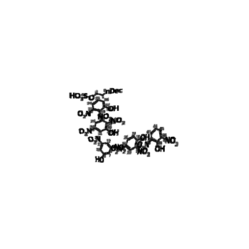 CCCCCCCCCCCCOS(=O)(=O)O.O=[N+]([O-])c1cc(O)cc([N+](=O)[O-])c1.O=[N+]([O-])c1ccc(O)c([N+](=O)[O-])c1.O=[N+]([O-])c1ccc([N+](=O)[O-])c(O)c1.O=[N+]([O-])c1cccc(O)c1[N+](=O)[O-].O=[N+]([O-])c1cccc([N+](=O)[O-])c1O